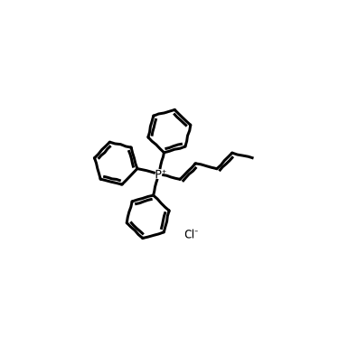 C/C=C/C=C/[P+](c1ccccc1)(c1ccccc1)c1ccccc1.[Cl-]